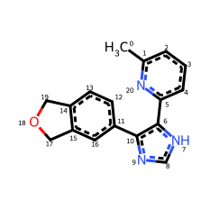 Cc1cccc(-c2[nH]cnc2-c2ccc3c(c2)COC3)n1